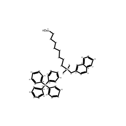 CCCCCCCCCCCCCCCCCC[N+](C)(C)Cc1ccc2ccccc2c1.c1ccc([B-](c2ccccc2)(c2ccccc2)c2ccccc2)cc1